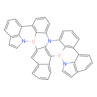 c1cc2c3c(c1)N1c4cccc5c4B(c4c1c(cc1ccccc41)B3n1ccc3cccc-2c31)n1ccc2cccc-5c21